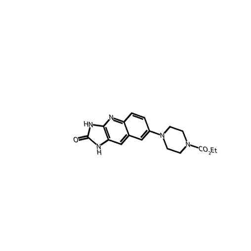 CCOC(=O)N1CCN(c2ccc3nc4[nH]c(=O)[nH]c4cc3c2)CC1